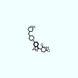 Cn1nc(C2CCC(=O)NC2=O)c2ccc(N3CCC(CC4CCNCC4)CC3)cc21